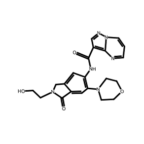 O=C(Nc1cc2c(cc1N1CCOCC1)C(=O)N(CCO)C2)c1cnn2cccnc12